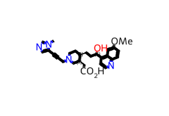 COc1ccc2nccc([C@@H](O)CC[C@@H]3CCN(CC#Cc4cncn4C)C[C@@H]3CC(=O)O)c2c1